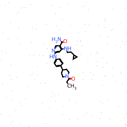 CCC(=O)N1CCC(c2ccc(Nc3cc(NCCC4CC4)c(C(N)=O)cn3)cc2)CC1